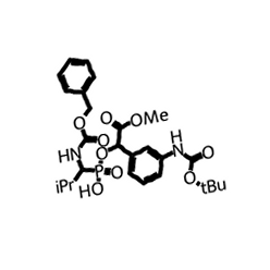 COC(=O)C(OP(=O)(O)C(NC(=O)OCc1ccccc1)C(C)C)c1cccc(NC(=O)OC(C)(C)C)c1